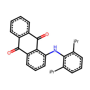 CC(C)c1cccc(C(C)C)c1Nc1cccc2c1C(=O)c1ccccc1C2=O